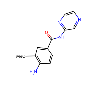 COc1cc(C(=O)Nc2cnccn2)ccc1N